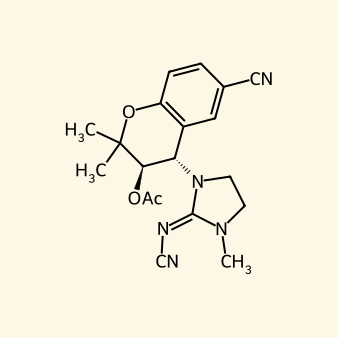 CC(=O)O[C@@H]1[C@@H](N2CCN(C)C2=NC#N)c2cc(C#N)ccc2OC1(C)C